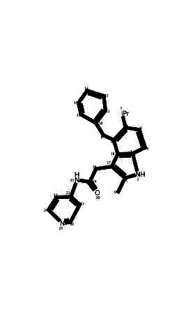 Cc1[nH]c2ccc(C(C)C)c(Cc3ccccc3)c2c1CC(=O)Nc1ccncc1